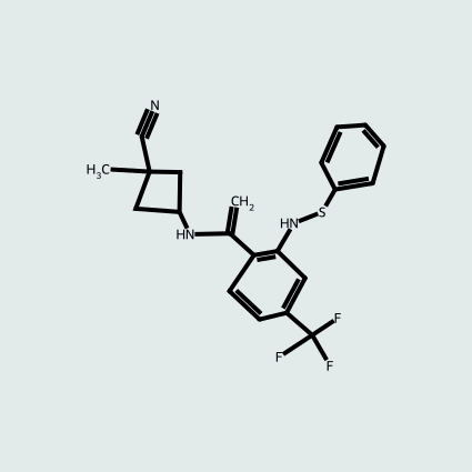 C=C(NC1CC(C)(C#N)C1)c1ccc(C(F)(F)F)cc1NSc1ccccc1